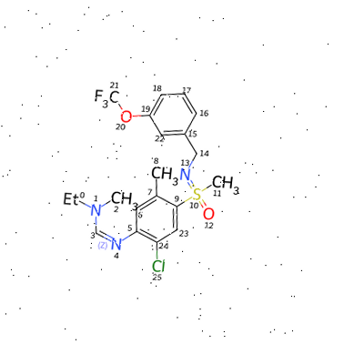 CCN(C)/C=N\c1cc(C)c(S(C)(=O)=NCc2cccc(OC(F)(F)F)c2)cc1Cl